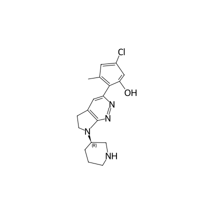 Cc1cc(Cl)cc(O)c1-c1cc2c(nn1)N([C@@H]1CCCNC1)CC2